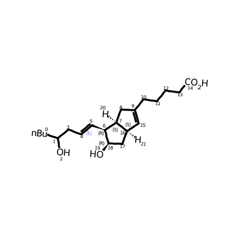 CCCCC(O)C/C=C/[C@H]1[C@H]2CC(CCCCC(=O)O)=C[C@H]2C[C@H]1O